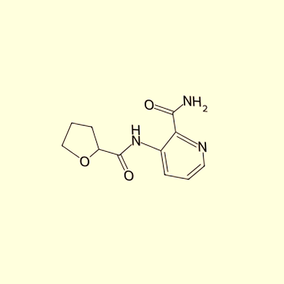 NC(=O)c1ncccc1NC(=O)C1CCCO1